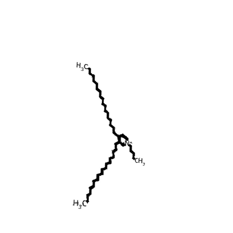 CCCCCCCCCCCCCCCCCCCc1cc[n+](CCCCC)cc1CCCCCCCCCCCCCCCCCCC